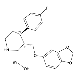 CC(C)O.Fc1ccc([C@@H]2CCNC[C@H]2COc2ccc3c(c2)OCO3)cc1